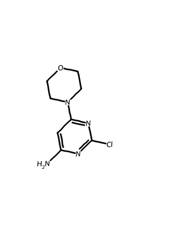 Nc1cc(N2CCOCC2)nc(Cl)n1